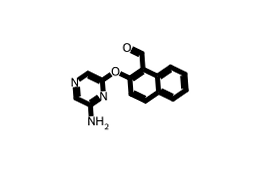 Nc1cncc(Oc2ccc3ccccc3c2C=O)n1